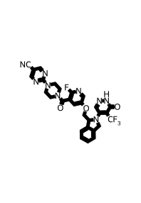 N#Cc1cnc(N2CCN(C(=O)c3cc(OCC4c5ccccc5CN4c4cn[nH]c(=O)c4C(F)(F)F)cnc3F)CC2)nc1